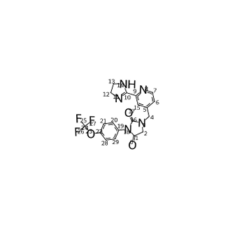 O=C1CN(Cc2ccnc(C3=NCCN3)c2)C(=O)N1c1ccc(OC(F)(F)F)cc1